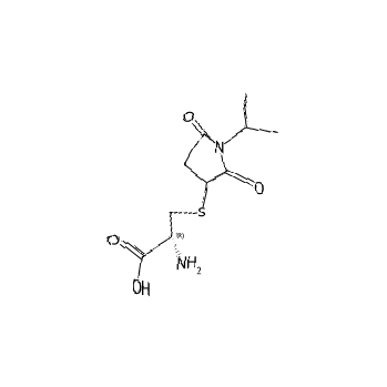 CC(C)N1C(=O)CC(SC[C@H](N)C(=O)O)C1=O